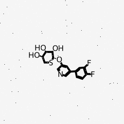 O[C@@H]1[C@@H](O)[C@H](Oc2cncc(-c3ccc(F)c(F)c3)c2)SC[C@H]1O